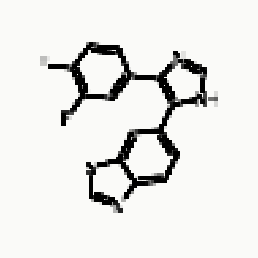 Fc1ccc(-c2nc[nH]c2-c2ccc3ncsc3c2)cc1F